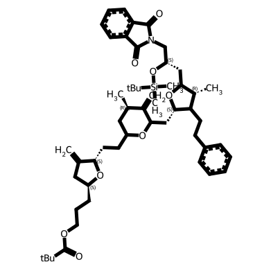 C=C1C(C[C@@H]2OC(C[C@@H](CN3C(=O)c4ccccc4C3=O)O[Si](C)(C)C(C)(C)C)[C@H](C)C2CCc2ccccc2)OC(CC[C@@H]2O[C@@H](CCCOC(=O)C(C)(C)C)CC2=C)C[C@H]1C